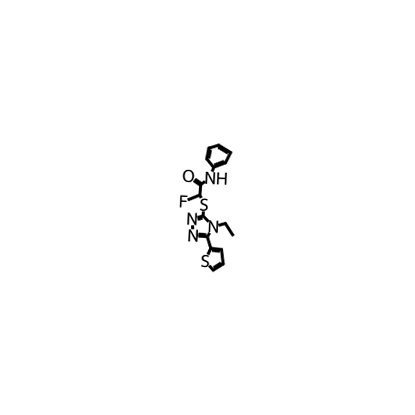 CCn1c(SC(F)C(=O)Nc2ccccc2)nnc1-c1cccs1